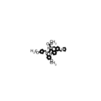 COC(=O)c1nc2c(N(Cc3ccc(OC)cc3)Cc3ccc(OC)cc3)nc3ccccc3c2n1Cc1ccc(CN2CCCC2)cc1